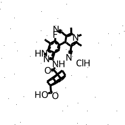 CC1=C(C#N)C(c2cc3c(NC(=O)C45C6C7C4C4C5C6C74C(=O)O)n[nH]c3c(C)c2F)C(C#N)=C(C)N1C.Cl